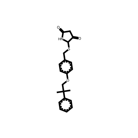 CC(C)(COc1ccc(CSC2NC(=O)CC2=O)cc1)c1ccccc1